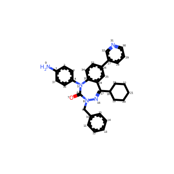 Nc1ccc(N2C(=O)N(Cc3ccccc3)N=C(C3CCCCC3)c3cc(-c4cccnc4)ccc32)cc1